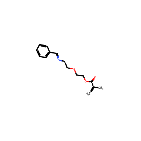 C=C(C)C(=O)OCCOCCN=Cc1ccccc1